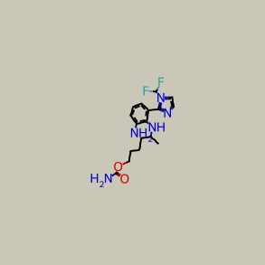 CC(CCCCOC(N)=O)Nc1c(N)cccc1-c1nccn1C(F)F